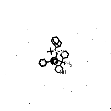 CC(C)(C)P(C[C]12[CH]3[C]4(c5ccccc5)[CH]5[C]1(C(P)(C1CCCNC1)C1CCCNC1)[Fe]35421678[CH]2[CH]1[CH]6[CH]7[CH]28)C1C2CC3CC(C2)CC1C3